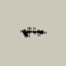 Cc1cc(NC(=S)NCCCCCNC(=O)CCCCC(=O)NCCOP(=O)(O)O)ccc1-c1c2cc(F)c(=O)cc-2oc2cc(O)c(F)cc12